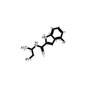 CC(C)CC(C)NC(=O)c1cc2c(F)cccc2[nH]1